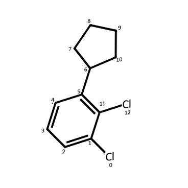 Clc1cc[c]c(C2CCCC2)c1Cl